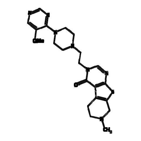 COc1cncnc1N1CCN(CCn2cnc3sc4c(c3c2=O)CCN(C)C4)CC1